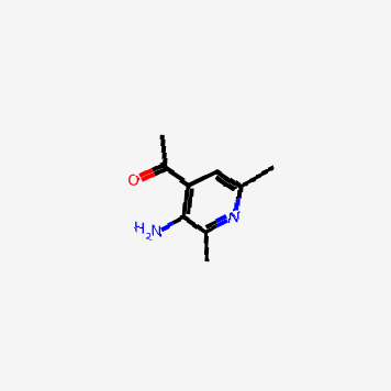 CC(=O)c1cc(C)nc(C)c1N